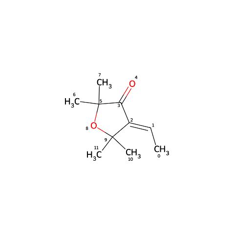 C/C=C1/C(=O)C(C)(C)OC1(C)C